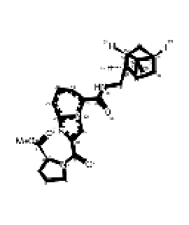 COC(=O)[C@@H]1CCCN1C(=O)c1cn2c(C(=O)NC[C@@H]3CC[C@H]4C[C@@H]3C4(C)C)cccc2n1